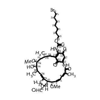 CO[C@H]1/C=C\C=C(/C)C(=O)NC2=CC(=O)C(NC(=O)OCCCCCCCBr)=C(C[C@@H](C)C[C@H](OC)[C@H](O)[C@@H](C)/C=C(\C)[C@@H]1NOC=O)C2=O